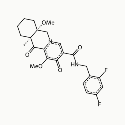 COc1c2n(cc(C(=O)NCc3ccc(F)cc3F)c1=O)C[C@]1(OC)CCCC[C@]1(C)C2=O